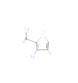 Cc1c[nH]c(C(N)=O)c1N